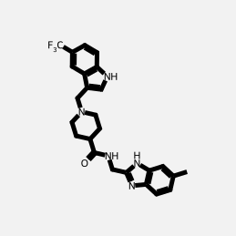 Cc1ccc2nc(CNC(=O)C3CCN(Cc4c[nH]c5ccc(C(F)(F)F)cc45)CC3)[nH]c2c1